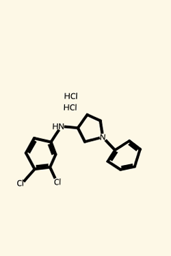 Cl.Cl.Clc1ccc(NC2CCN(c3ccccc3)C2)cc1Cl